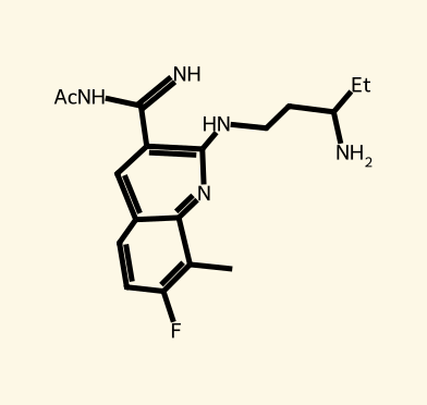 CCC(N)CCNc1nc2c(C)c(F)ccc2cc1C(=N)NC(C)=O